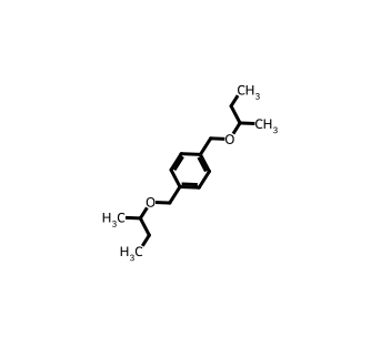 CCC(C)OCc1ccc(COC(C)CC)cc1